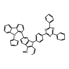 C=Nc1c(/C=C\C)n(-c2ccc(-c3nc(-c4ccccc4)nc(-c4ccccc4)n3)cc2)c2cc(-c3cccc4c5ccccc5n(-c5ccccc5)c34)ccc12